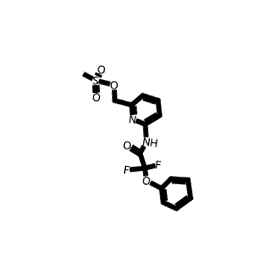 CS(=O)(=O)OCc1cccc(NC(=O)C(F)(F)Oc2ccccc2)n1